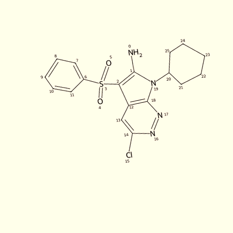 Nc1c(S(=O)(=O)c2ccccc2)c2cc(Cl)nnc2n1C1CCCCC1